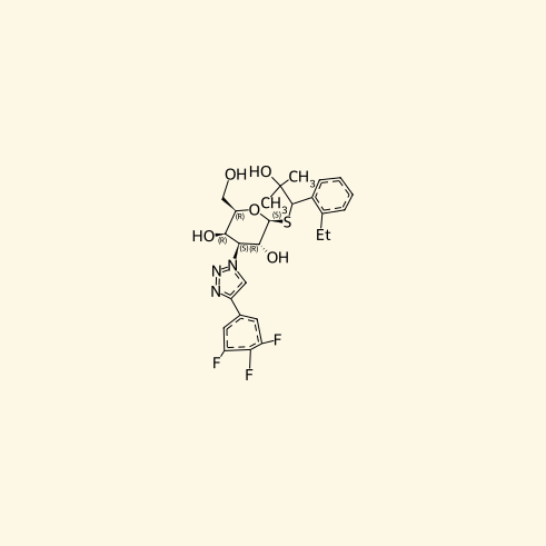 CCc1ccccc1C(S[C@@H]1O[C@H](CO)[C@H](O)[C@H](n2cc(-c3cc(F)c(F)c(F)c3)nn2)[C@H]1O)C(C)(C)O